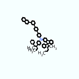 C=C/C=C\C=C(/C)C1(c2ccccc2)c2ccccc2-c2ccc(N(c3ccc(C(/C=C\C)=C(/C)C4=CC=CCC4)cc3)c3ccc(-c4ccc(-c5cccc(-c6ccc7ccccc7c6)c5)cc4)cc3)cc21